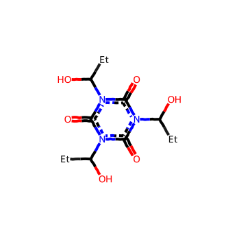 CCC(O)n1c(=O)n(C(O)CC)c(=O)n(C(O)CC)c1=O